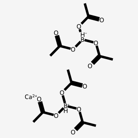 CC(=O)O[BH-](OC(C)=O)OC(C)=O.CC(=O)O[BH-](OC(C)=O)OC(C)=O.[Ca+2]